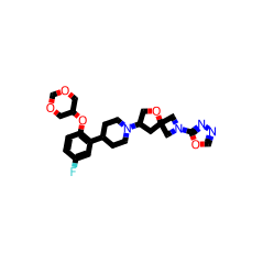 Fc1ccc(OC2COCOC2)c(C2CCN(C3COC4(C3)CN(c3nnco3)C4)CC2)c1